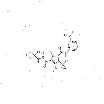 Cc1c(C(=O)C(=O)NC2(C(F)(F)F)COC2)c2n(c1C(=O)Nc1ccnc(C(F)F)c1)[C@@H]1CC1C2C